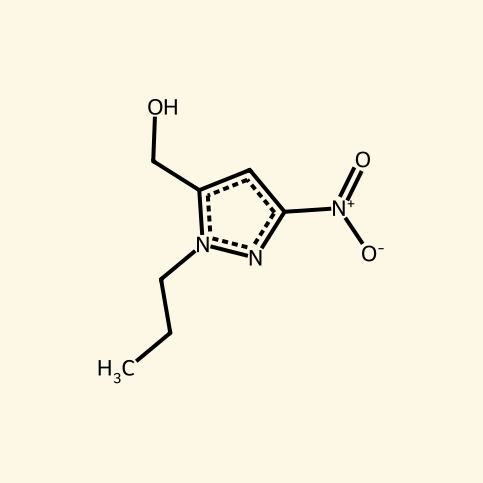 CCCn1nc([N+](=O)[O-])cc1CO